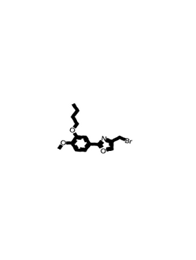 CCCCOc1cc(-c2nc(CBr)co2)ccc1OC